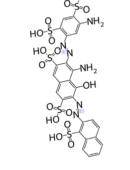 Nc1cc(/N=N/c2c(S(=O)(=O)O)cc3cc(S(=O)(=O)O)c(/N=N/c4ccc5ccccc5c4S(=O)(=O)O)c(O)c3c2N)c(S(=O)(=O)O)cc1S(=O)(=O)O